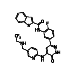 O=C(Nc1cc(-c2cc(Nc3ccc(CNCC(F)(F)F)cn3)c(=O)[nH]n2)ccc1F)c1cc2ccccc2s1